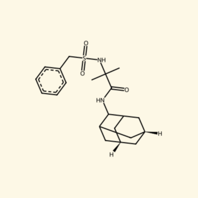 CC(C)(NS(=O)(=O)Cc1ccccc1)C(=O)NC1C2C[C@H]3CC1C[C@H](C2)C3